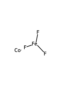 [Co].[F][Fe]([F])[F]